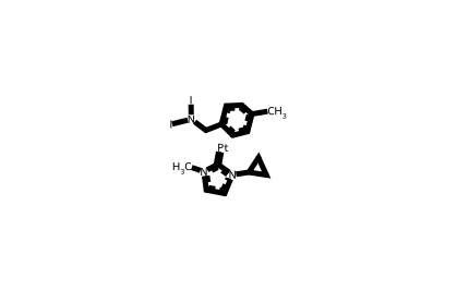 Cc1ccc(CN(I)I)cc1.Cn1ccn(C2CC2)[c]1=[Pt]